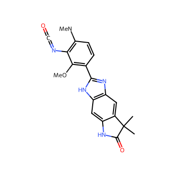 CNc1ccc(-c2nc3cc4c(cc3[nH]2)NC(=O)C4(C)C)c(OC)c1N=C=O